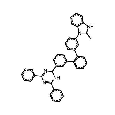 CC1Nc2ccccc2N1c1cccc(-c2ccccc2-c2cccc(C3N=C(c4ccccc4)N=C(c4ccccc4)N3)c2)c1